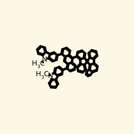 Cn1c2ccccc2c2cc(-c3cccc4c(-c5cccc6c5-c5ccccc5C65c6ccccc6-c6ccc7ccccc7c65)c5cccc(-c6ccc7c(c6)c6ccccc6n7C)c5cc34)ccc21